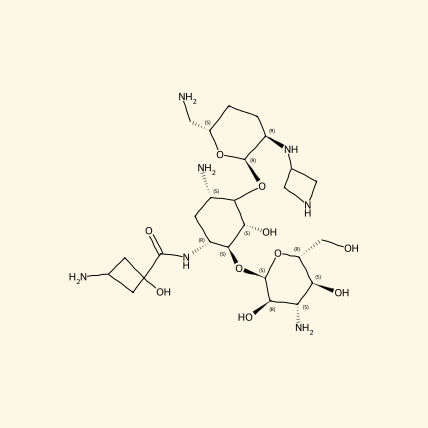 NC[C@@H]1CC[C@@H](NC2CNC2)[C@@H](OC2[C@@H](N)C[C@@H](NC(=O)C3(O)CC(N)C3)[C@H](O[C@H]3O[C@H](CO)[C@@H](O)[C@H](N)[C@H]3O)[C@H]2O)O1